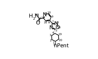 CCCCC[C@H]1CC[C@H](c2nc(-c3ccnc(C(N)=O)c3)no2)CC1